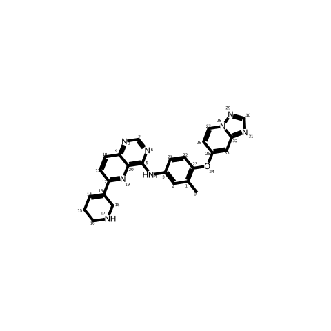 Cc1cc(Nc2ncnc3ccc(C4=CCCNC4)nc23)ccc1Oc1ccn2ncnc2c1